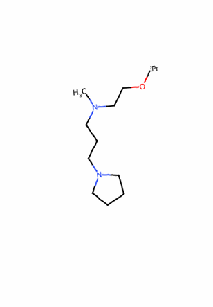 CC(C)OCCN(C)CCCN1CCCC1